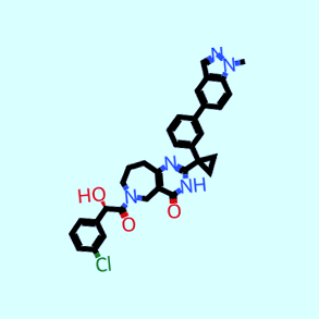 Cn1ncc2cc(-c3cccc(C4(c5nc6c(c(=O)[nH]5)CN(C(=O)[C@H](O)c5cccc(Cl)c5)CCC6)CC4)c3)ccc21